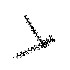 CCCCCSCSCCCCCCCCC1(CCCCCCCCSCSCCCCC)OCC(CCN(C)C)O1